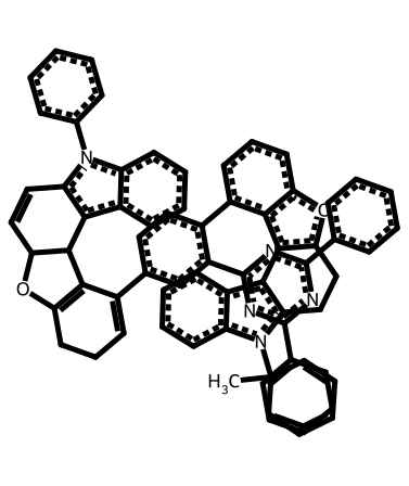 CC1(n2c3c(c4ccccc42)-c2c(oc4cccc(-c5ccc(C6=CCCC7=C6C6c8c(n(-c9ccccc9)c9ccccc89)C=CC6O7)cc5-c5nc(C6=CC=CCC6)nc(-c6ccccc6)n5)c24)CC3)C=CC=CC1